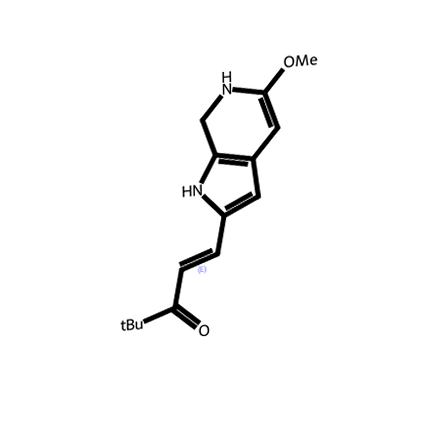 COC1=Cc2cc(/C=C/C(=O)C(C)(C)C)[nH]c2CN1